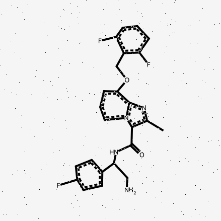 Cc1nc2c(OCc3c(F)cccc3F)cccn2c1C(=O)NC(CN)c1ccc(F)cc1